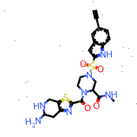 C#Cc1ccc2[nH]c(S(=O)(=O)N3CCN(C(=O)c4nc5c(s4)CNC(N)C5)C(C(=O)NC)C3)cc2c1